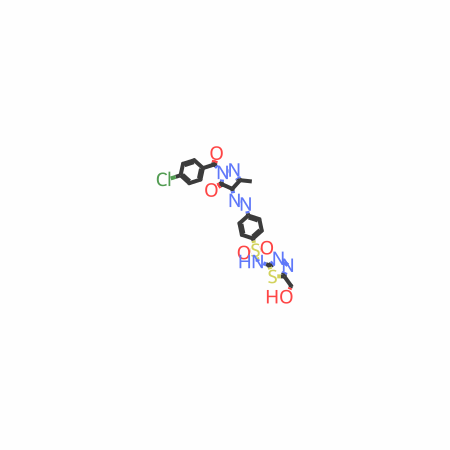 CC1=NN(C(=O)c2ccc(Cl)cc2)C(=O)C1/N=N/c1ccc(S(=O)(=O)Nc2nnc(CO)s2)cc1